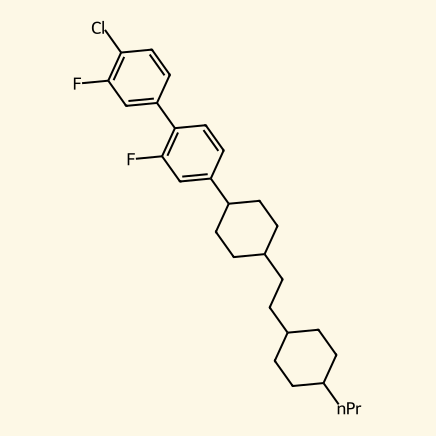 CCCC1CCC(CCC2CCC(c3ccc(-c4ccc(Cl)c(F)c4)c(F)c3)CC2)CC1